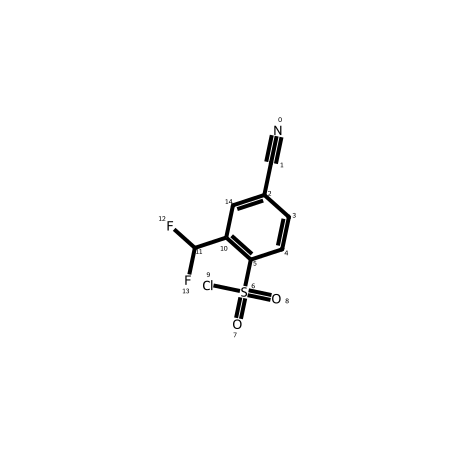 N#Cc1ccc(S(=O)(=O)Cl)c(C(F)F)c1